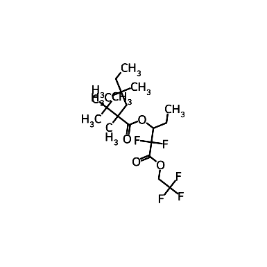 CCC(OC(=O)C(C)(CC(C)(C)CC)C(C)(C)C)C(F)(F)C(=O)OCC(F)(F)F